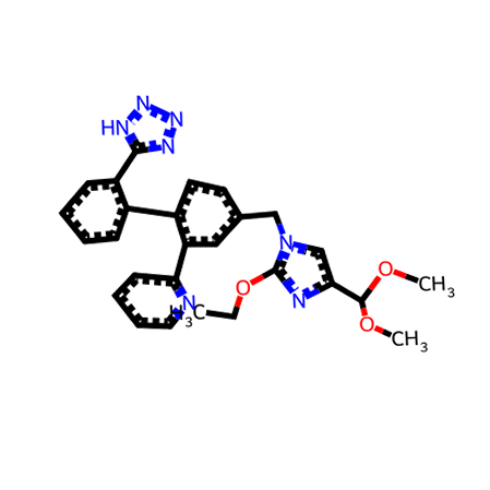 CCOc1nc(C(OC)OC)cn1Cc1ccc(-c2ccccc2-c2nnn[nH]2)c(-c2ccccn2)c1